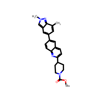 Cc1cc(-c2ccc3nc(C4CCN(C(=O)OC(C)(C)C)CC4)ccc3c2)cc2cn(C)nc12